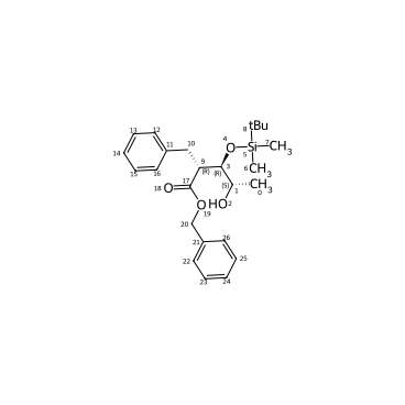 C[C@H](O)[C@H](O[Si](C)(C)C(C)(C)C)[C@@H](Cc1ccccc1)C(=O)OCc1ccccc1